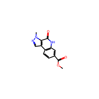 COC(=O)c1ccc2c(c1)[nH]c(=O)c1c2cnn1C